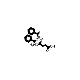 NC(=O)c1ccccc1.NC(=O)c1ccccc1.O=C(O)CCC(=O)O